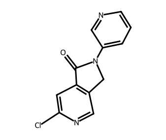 O=C1c2cc(Cl)ncc2CN1c1cccnc1